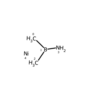 CB(C)N.[Ni]